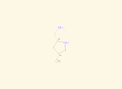 N#C[C@H]1CN[C@@H](CN)C1